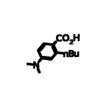 CCCCc1cc(N(C)C)ccc1C(=O)O